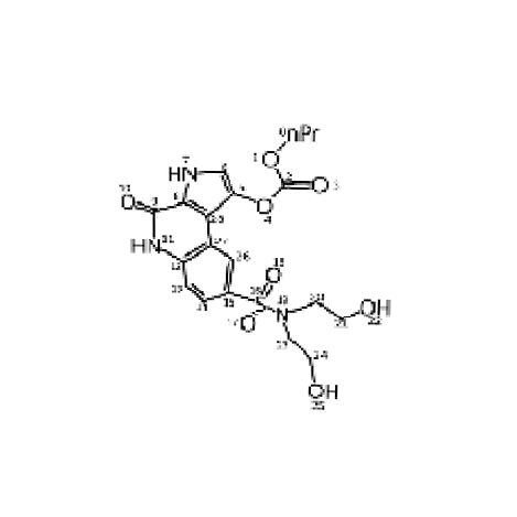 CCCOC(=O)Oc1c[nH]c2c(=O)[nH]c3ccc(S(=O)(=O)N(CCO)CCO)cc3c12